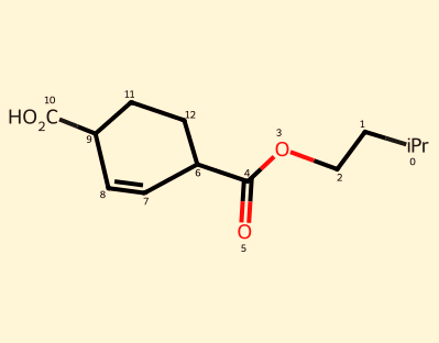 CC(C)CCOC(=O)C1C=CC(C(=O)O)CC1